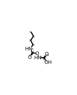 CCCCNC(=O)ONC(=O)O